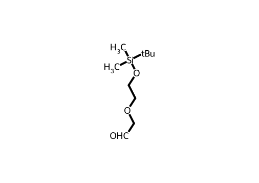 CC(C)(C)[Si](C)(C)OCCOCC=O